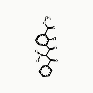 COC(=O)c1cccc(C(=O)C(C(=O)c2ccccc2)[N+](=O)[O-])c1Cl